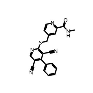 CNC(=O)c1cc(CSc2ncc(C#N)c(-c3ccccc3)c2C#N)ccn1